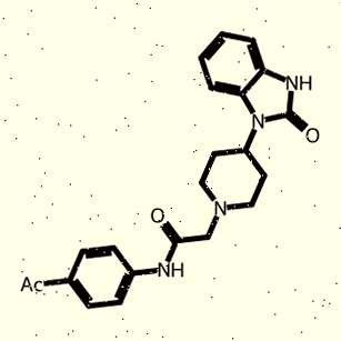 CC(=O)c1ccc(NC(=O)CN2CCC(n3c(=O)[nH]c4ccccc43)CC2)cc1